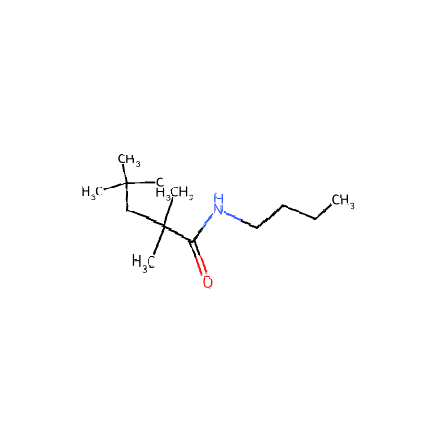 CCCCNC(=O)C(C)(C)CC(C)(C)C